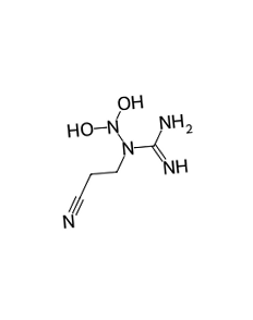 N#CCCN(C(=N)N)N(O)O